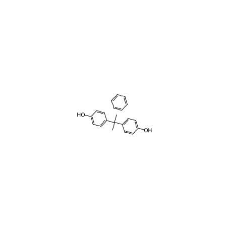 CC(C)(c1ccc(O)cc1)c1ccc(O)cc1.c1ccccc1